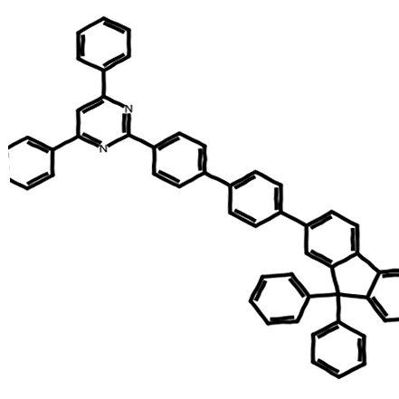 c1ccc(-c2cc(-c3ccccc3)nc(-c3ccc(-c4ccc(-c5ccc6c(c5)C(c5ccccc5)(c5ccccc5)c5ccccc5-6)cc4)cc3)n2)cc1